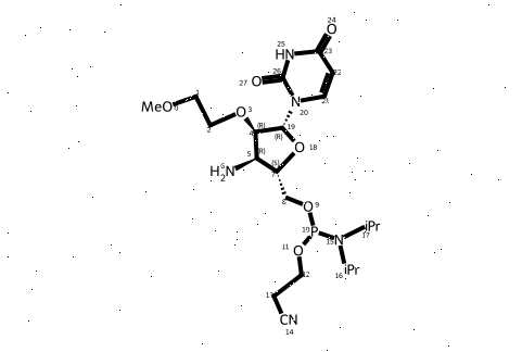 COCCO[C@@H]1[C@H](N)[C@@H](COP(OCCC#N)N(C(C)C)C(C)C)O[C@H]1n1ccc(=O)[nH]c1=O